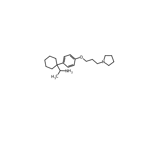 CC(N)C1(c2ccc(OCCCN3CCCC3)cc2)CCCCC1